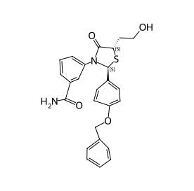 NC(=O)c1cccc(N2C(=O)[C@H](CCO)S[C@H]2c2ccc(OCc3ccccc3)cc2)c1